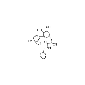 CCc1ccc(-c2cc(C=C(C#N)C(=O)NCc3ccccc3)cc(O)c2O)c2c1CS2